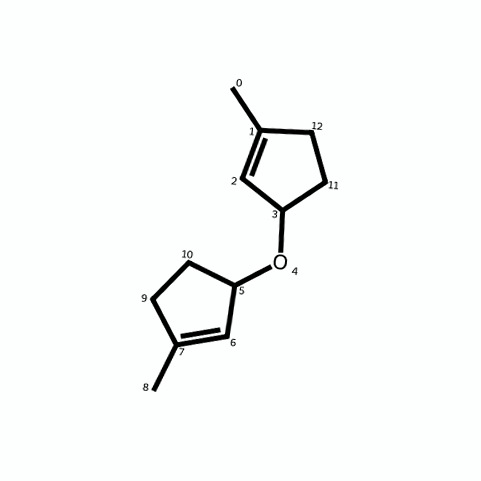 CC1=CC(OC2C=C(C)CC2)CC1